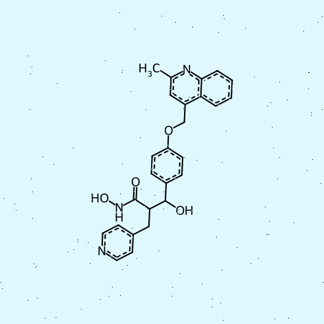 Cc1cc(COc2ccc(C(O)C(Cc3ccncc3)C(=O)NO)cc2)c2ccccc2n1